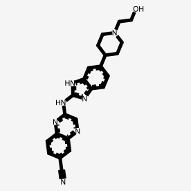 N#Cc1ccc2nc(Nc3nc4ccc(C5CCN(CCO)CC5)cc4[nH]3)cnc2c1